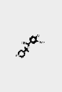 COc1cc(C(O)OC(C)(C)C2CCNCC2)ccc1Cl